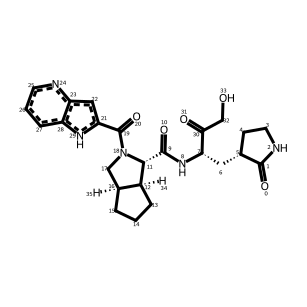 O=C1NCC[C@H]1C[C@H](NC(=O)[C@@H]1[C@H]2CCC[C@H]2CN1C(=O)c1cc2ncccc2[nH]1)C(=O)CO